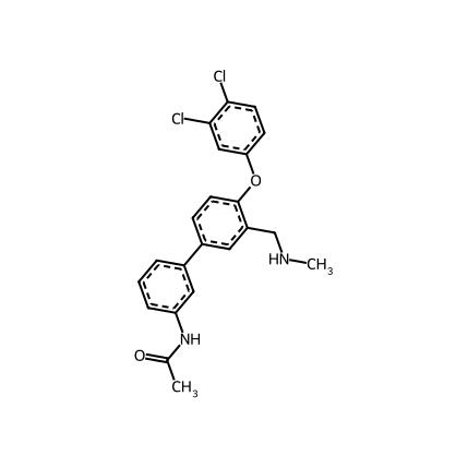 CNCc1cc(-c2cccc(NC(C)=O)c2)ccc1Oc1ccc(Cl)c(Cl)c1